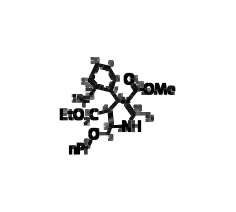 CCCOCC1=C(C(=O)OCC)C(c2ccccc2[18F])C(C(=O)OC)=C(C)N1